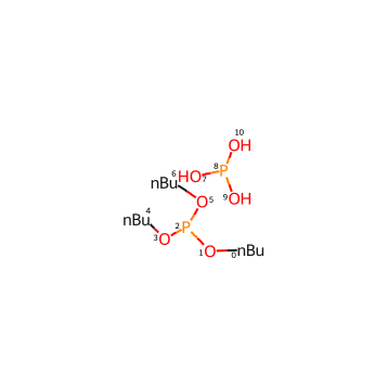 CCCCOP(OCCCC)OCCCC.OP(O)O